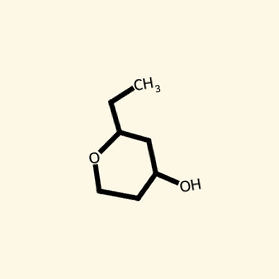 CCC1CC(O)CCO1